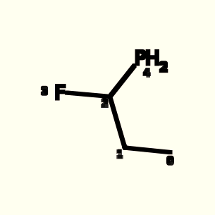 CCC(F)P